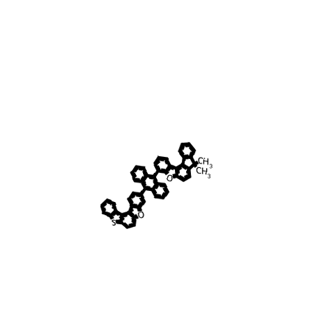 CC1(C)c2ccccc2-c2c1ccc1oc3c(-c4c5ccccc5c(-c5ccc6c(c5)oc5ccc7sc8ccccc8c7c56)c5ccccc45)cccc3c21